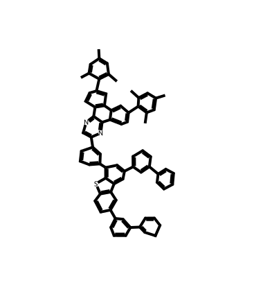 Cc1cc(C)c(-c2ccc3c(c2)c2cc(-c4c(C)cc(C)cc4C)ccc2c2nc(-c4cccc(-c5cc(-c6cccc(-c7ccccc7)c6)cc6c5sc5ccc(-c7cccc(C8=CCCC=C8)c7)cc56)c4)cnc32)c(C)c1